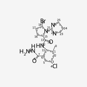 Cc1cc(Cl)cc(C(=O)NN)c1NC(=O)c1ccc(Br)n1-c1ncccn1